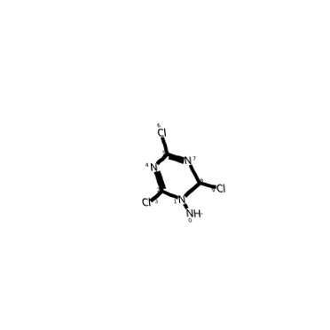 [NH]N1C(Cl)=NC(Cl)=NC1Cl